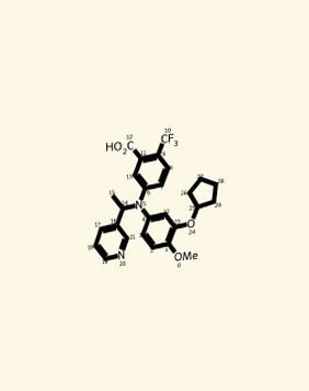 COc1ccc(N(c2ccc(C(F)(F)F)c(C(=O)O)c2)C(C)c2cccnc2)cc1OC1CCCC1